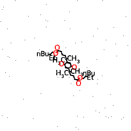 CCCCC(CC)COC(=O)CCCC(C)(C)C1=CC(=O)C(C(C)(C)CCCC(=O)OCC(CC)CCCC)=CC1=O